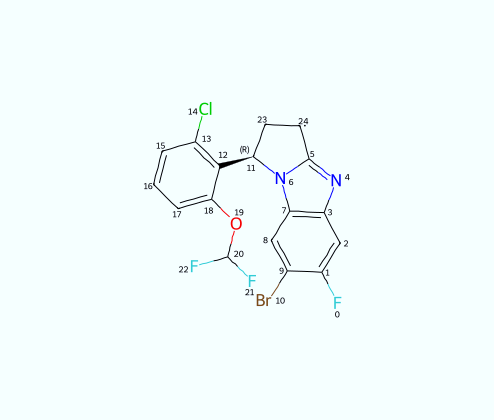 Fc1cc2nc3n(c2cc1Br)[C@@H](c1c(Cl)cccc1OC(F)F)C[CH]3